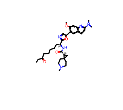 CCC(=O)CCCCC[C@H](NC(=O)[C@H]1CC12CCN(C)CC2)c1ncc(-c2cc3ccc(N(C)C)nc3cc2OC)o1